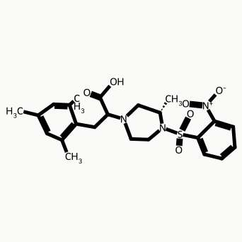 Cc1cc(C)c(CC(C(=O)O)N2CCN(S(=O)(=O)c3ccccc3[N+](=O)[O-])[C@@H](C)C2)c(C)c1